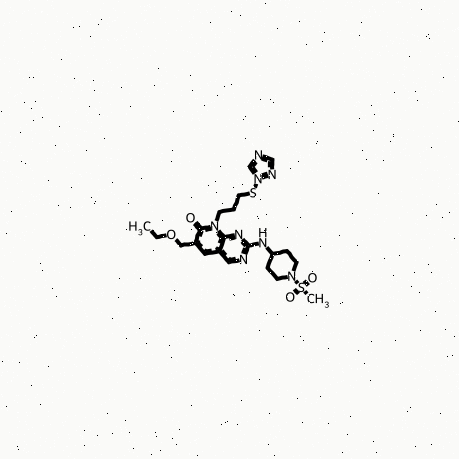 CCOCc1cc2cnc(NC3CCN(S(C)(=O)=O)CC3)nc2n(CCCSn2cncn2)c1=O